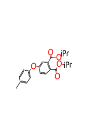 Cc1ccc(Oc2ccc(C(=O)OC(C)C)c(C(=O)OC(C)C)c2)cc1